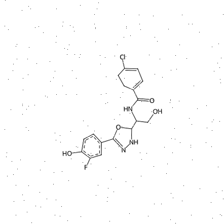 O=C(NC(CO)C1NN=C(c2ccc(O)c(F)c2)O1)C1=CC=C(Cl)CC1